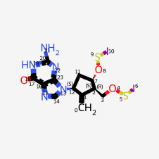 C=C1[C@H](COSI)[C@@H](OSI)C[C@@H]1n1cnc2c(=O)[nH]c(N)nc21